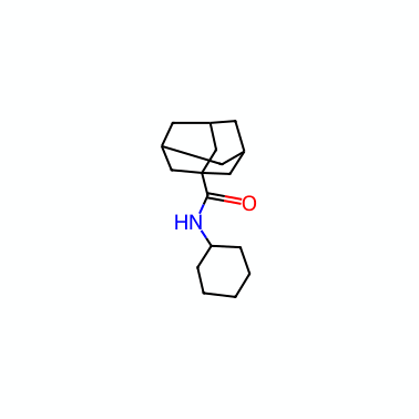 O=C(NC1CCCCC1)C12CC3CC(CC(C3)C1)C2